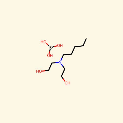 CCCCCN(CCO)CCO.OB(O)O